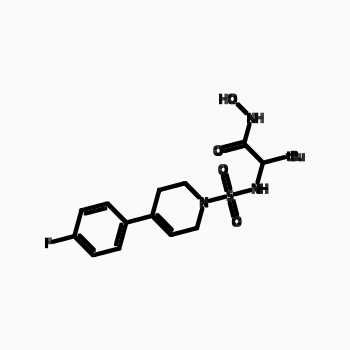 CC(C)(C)C(NS(=O)(=O)N1CC=C(c2ccc(F)cc2)CC1)C(=O)NO